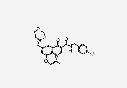 CC1=COc2cc(CN3CCOCC3)cc3c(=O)c(C(=O)NCc4ccc(Cl)cc4)cn1c23